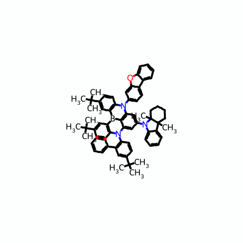 CC(C)(C)c1ccc2c(c1)B1c3cc(C(C)(C)C)ccc3N(c3ccc(C(C)(C)C)cc3-c3ccccc3)c3cc(N4c5ccccc5C5(C)CCCCC45C)cc(c31)N2c1ccc2c(c1)oc1ccccc12